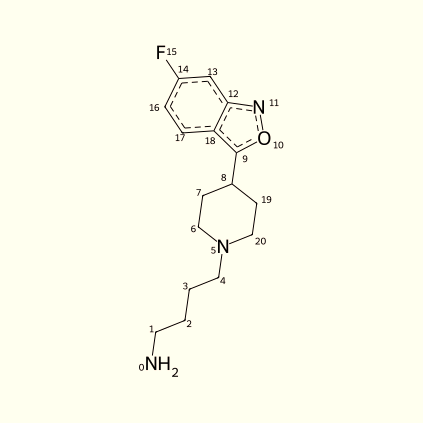 NCCCCN1CCC(c2onc3cc(F)ccc23)CC1